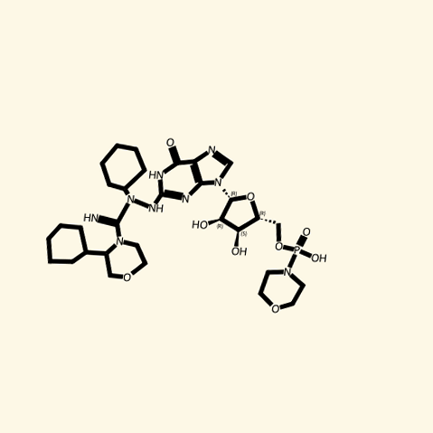 N=C(N1CCOCC1C1CCCCC1)N(Nc1nc2c(ncn2[C@@H]2O[C@H](COP(=O)(O)N3CCOCC3)[C@@H](O)[C@H]2O)c(=O)[nH]1)C1CCCCC1